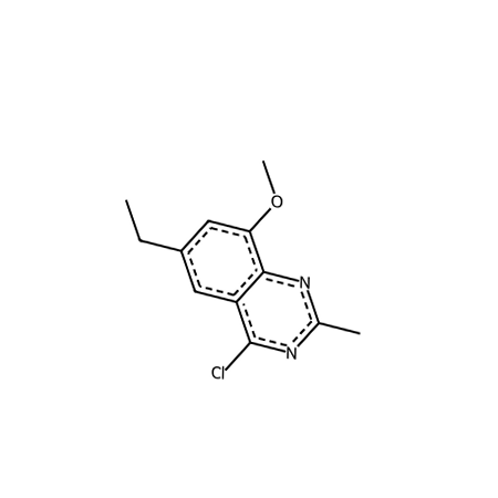 CCc1cc(OC)c2nc(C)nc(Cl)c2c1